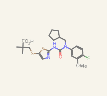 COc1cc(N(CC2CCCC2)C(=O)Nc2ncc(SCC(C)(C)C(=O)O)s2)ccc1F